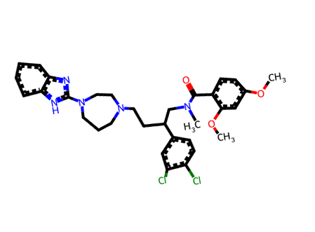 COc1ccc(C(=O)N(C)CC(CCN2CCCN(c3nc4ccccc4[nH]3)CC2)c2ccc(Cl)c(Cl)c2)c(OC)c1